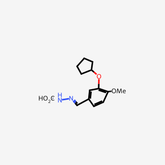 COc1ccc(C=NNC(=O)O)cc1OC1CCCC1